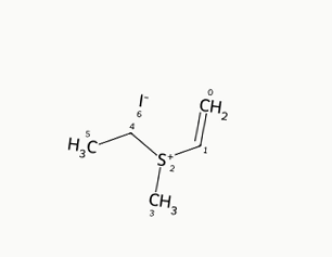 C=C[S+](C)CC.[I-]